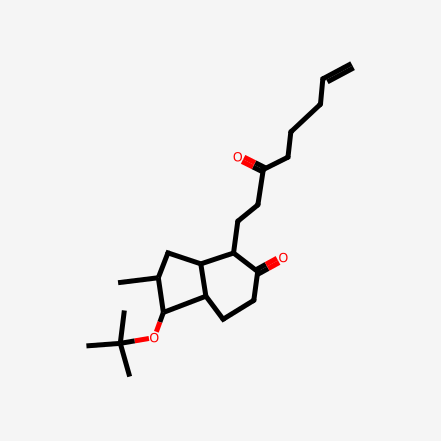 C=CCCCC(=O)CCC1C(=O)CCC2C1CC(C)C2OC(C)(C)C